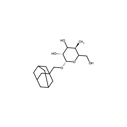 C[C@H]1C(CO)O[C@H](OCC23CC4CC(CC(C4)C2)C3)[C@H](O)C1O